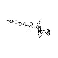 C#CCOCCOCCOCCOCCNC(=O)CCCn1c(CN2C(=O)C3(CCN(C(=O)OC(C)C)CC3)c3ccncc32)nc2cc(Cl)ccc21